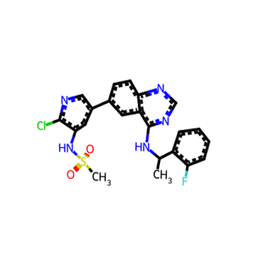 CC(Nc1ncnc2ccc(-c3cnc(Cl)c(NS(C)(=O)=O)c3)cc12)c1ccccc1F